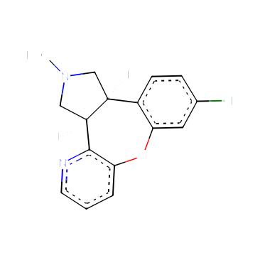 CN1C[C@@H]2c3ncccc3Oc3cc(Cl)ccc3[C@@H]2C1